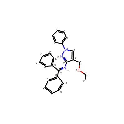 CCOCc1cn(-c2ccccc2)nc1N=C(c1ccccc1)c1ccccc1